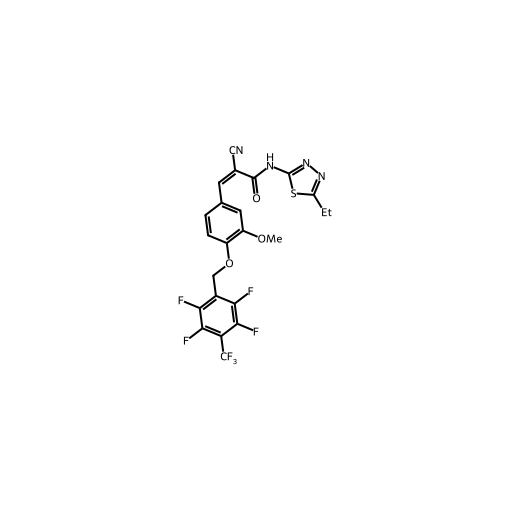 CCc1nnc(NC(=O)C(C#N)=Cc2ccc(OCc3c(F)c(F)c(C(F)(F)F)c(F)c3F)c(OC)c2)s1